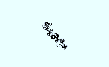 N#C[C@@H]1CC(F)(F)CN1C(=O)CNC(=O)c1ccnc2c(NC(=O)CCC(=O)ON3C(=O)CCC3=O)cccc12